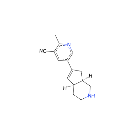 Cc1ncc(C2=C[C@@H]3CCNC[C@@H]3C2)cc1C#N